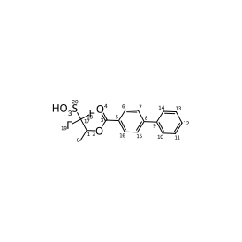 CC(OC(=O)c1ccc(-c2ccccc2)cc1)C(F)(F)S(=O)(=O)O